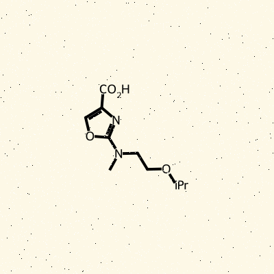 CC(C)OCCN(C)c1nc(C(=O)O)co1